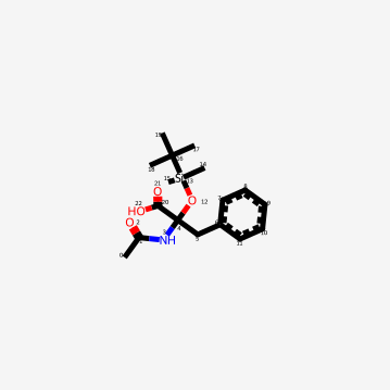 CC(=O)NC(Cc1ccccc1)(O[Si](C)(C)C(C)(C)C)C(=O)O